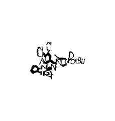 CC(C)c1ccccc1-n1c(=O)nc(N2CCN(C(=O)OC(C)(C)C)C[C@@H]2C)c2cc(Cl)c(Cl)nc21